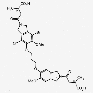 COc1cc2c(cc1OCCCOc1c(Br)c3c(c(Br)c1OC)CN(C(=O)C[C@H](C)C(=O)O)C3)CN(C(=O)C[C@H](C)C(=O)O)C2